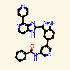 O=C(Nc1cncc(-c2ccc3[nH]nc(-c4nc5c(-c6ccncc6)nccc5[nH]4)c3c2)c1)c1ccccc1